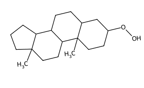 CC12CCCC1C1CCC3CC(OO)CCC3(C)C1CC2